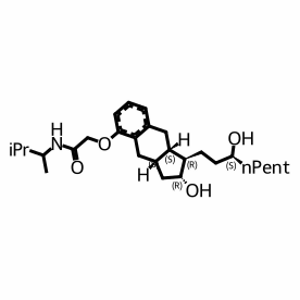 CCCCC[C@H](O)CC[C@@H]1[C@H]2Cc3cccc(OCC(=O)NC(C)C(C)C)c3C[C@H]2C[C@H]1O